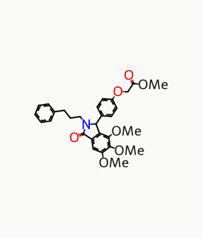 COC(=O)COc1ccc(C2c3c(cc(OC)c(OC)c3OC)C(=O)N2CCCc2ccccc2)cc1